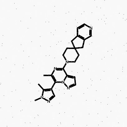 Cc1nc(N2CCC3(CC2)Cc2ccncc2C3)c2ccnn2c1-c1cnn(C)c1C